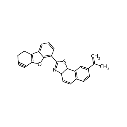 C=C(C)c1ccc2c(c1)C1SC(c3cccc4c5c(oc34)C#CCC5)=NC1C=C2